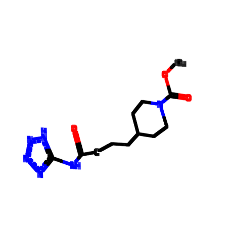 CC(C)(C)OC(=O)N1CCC(CCCC(=O)Nc2nnn[nH]2)CC1